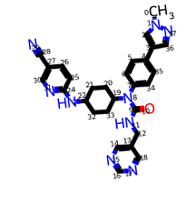 Cn1cc(-c2ccc(N(C(=O)NCc3cncnc3)C3CCC(Nc4ccc(C#N)cn4)CC3)cc2)cn1